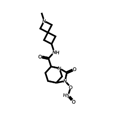 CN1CC2(CC(NC(=O)C3CCC4CN3C(=O)N4O[SH]=O)C2)C1